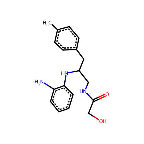 Cc1ccc(CC(CNC(=O)CO)Nc2ccccc2N)cc1